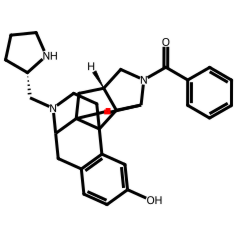 O=C(c1ccccc1)N1C[C@H]2CC34CCC1C2C31CCN(C[C@@H]2CCCN2)C4Cc2ccc(O)cc21